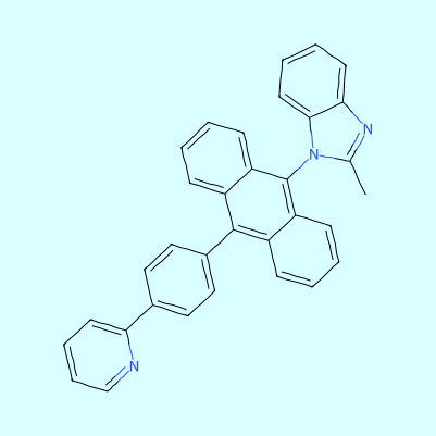 Cc1nc2ccccc2n1-c1c2ccccc2c(-c2ccc(-c3ccccn3)cc2)c2ccccc12